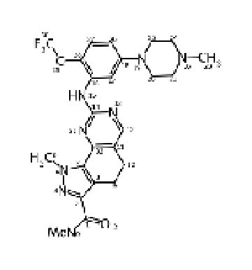 CNC(=O)c1nn(C)c2c1CCc1cnc(Nc3cc(N4CCN(C)CC4)ccc3OC(F)(F)F)nc1-2